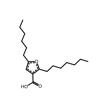 CCCCCCCc1oc(CCCCCC)cc1C(=O)O